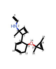 C=CNC1(C)C=CC1C1=CC=CCC1OC1(C)C=C1C